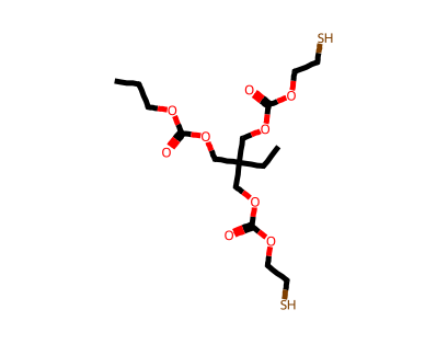 CCCOC(=O)OCC(CC)(COC(=O)OCCS)COC(=O)OCCS